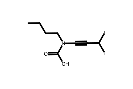 CCCCN(C#CC(I)I)C(=O)O